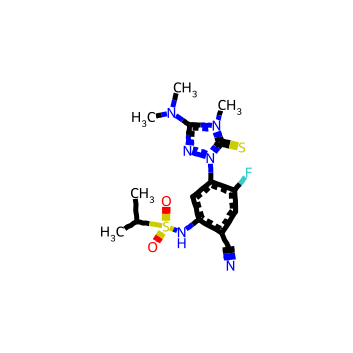 CC(C)S(=O)(=O)Nc1cc(-n2nc(N(C)C)n(C)c2=S)c(F)cc1C#N